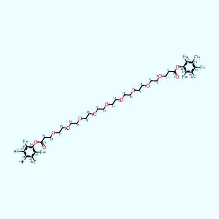 O=C(CCOCCOCCOCCOCCOCCOCCOCCOCCOCCC(=O)Oc1c(F)c(F)c(F)c(F)c1F)Oc1c(F)c(F)c(F)c(F)c1F